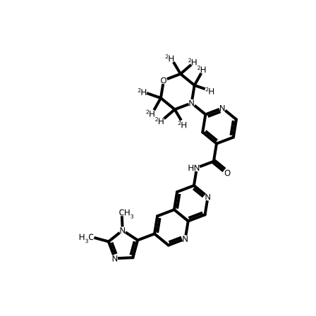 [2H]C1([2H])OC([2H])([2H])C([2H])([2H])N(c2cc(C(=O)Nc3cc4cc(-c5cnc(C)n5C)cnc4cn3)ccn2)C1([2H])[2H]